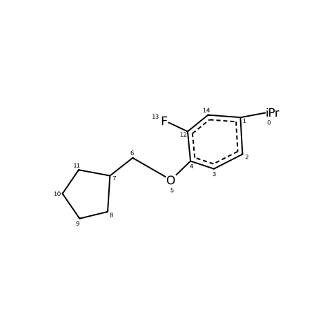 CC(C)c1ccc(OCC2CCCC2)c(F)c1